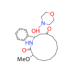 COC1CCCCCCCC(=O)[C@@H](CN2CCOCC2)[C@](O)(c2ccccc2)NC1=O